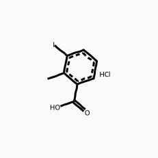 Cc1c(I)cccc1C(=O)O.Cl